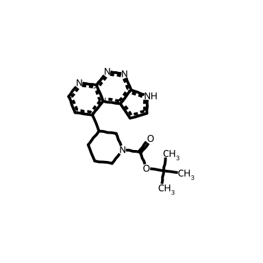 CC(C)(C)OC(=O)N1CCCC(c2ccnc3nnc4[nH]ccc4c23)C1